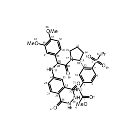 COC(=O)Nc1ccc(S(=O)(=O)C(C)C)c([C@H]2CCCN2C(=O)[C@@H](Nc2ccc3c(=O)[nH][nH]c(=O)c3c2)c2ccc(OC)c(OC)c2)c1